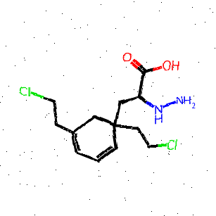 NN[C@@H](CC1(CCCl)C=CC=C(CCCl)C1)C(=O)O